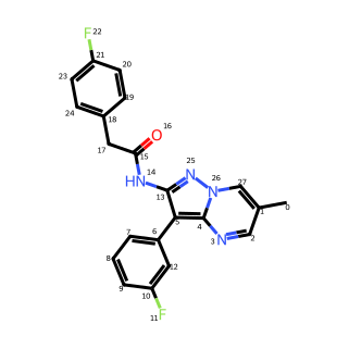 Cc1cnc2c(-c3cccc(F)c3)c(NC(=O)Cc3ccc(F)cc3)nn2c1